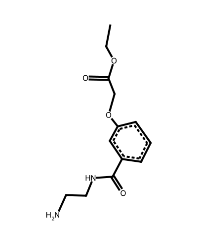 CCOC(=O)COc1cccc(C(=O)NCCN)c1